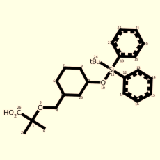 CC(C)(OCC1CCCC(O[Si](c2ccccc2)(c2ccccc2)C(C)(C)C)C1)C(=O)O